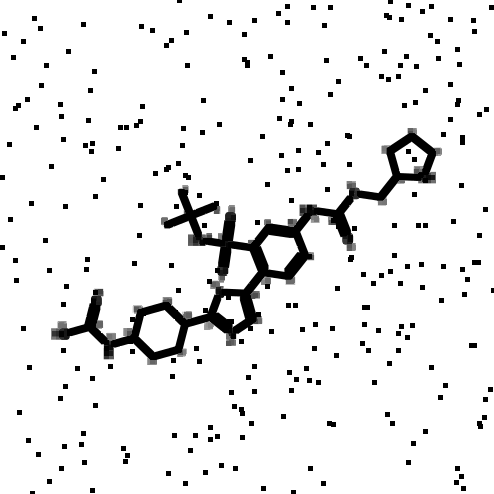 CC(C)(C)NS(=O)(=O)c1cc(NC(=O)OCC2CCCN2)ccc1-c1cnc(C2CCC(NC(=O)O)CC2)s1